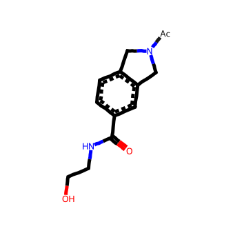 CC(=O)N1Cc2ccc(C(=O)NCCO)cc2C1